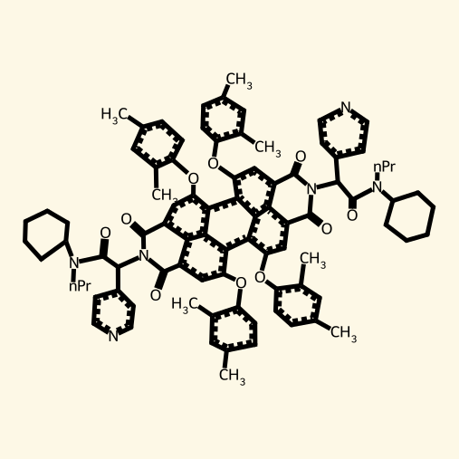 CCCN(C(=O)C(c1ccncc1)N1C(=O)c2cc(Oc3ccc(C)cc3C)c3c4c(Oc5ccc(C)cc5C)cc5c6c(cc(Oc7ccc(C)cc7C)c(c7c(Oc8ccc(C)cc8C)cc(c2c37)C1=O)c64)C(=O)N(C(C(=O)N(CCC)C1CCCCC1)c1ccncc1)C5=O)C1CCCCC1